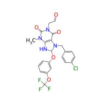 Cn1c2c(c(=O)n(CC=O)c1=O)N(Cc1ccc(Cl)cc1)C(Oc1cccc(OC(F)(F)F)c1)N2